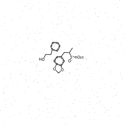 CCCCCCCC[S+]([O-])C(C)Cc1ccc2c(c1)OCO2.OCCc1ccccc1